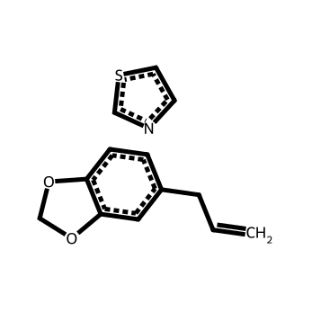 C=CCc1ccc2c(c1)OCO2.c1cscn1